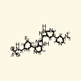 CN(C)c1cncc(-c2cnc3[nH]nc(-c4nc5c(-c6cc(F)cc(CNS(C)(=O)=O)c6)nccc5[nH]4)c3c2)c1